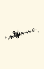 CCCCCCCCCCCCCCNC(=O)C(CCCCN)NC=O